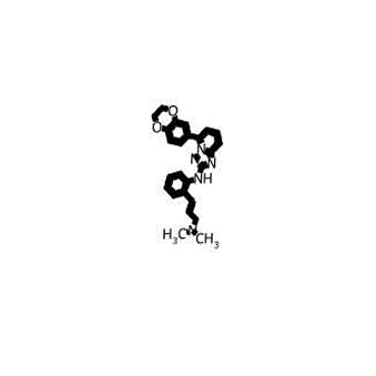 CN(C)CC=Cc1ccccc1Nc1nc2cccc(-c3ccc4c(c3)OCCO4)n2n1